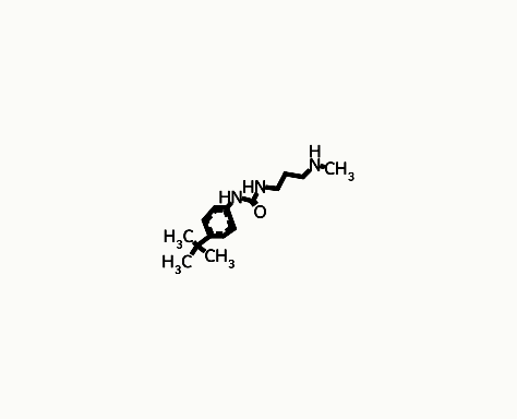 CNCCCNC(=O)Nc1ccc(C(C)(C)C)cc1